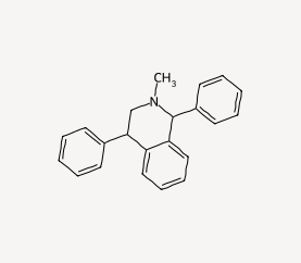 CN1CC(c2ccccc2)c2ccccc2C1c1ccccc1